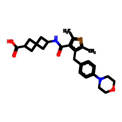 Cc1sc(C)c(C(=O)NC2CC3(C2)CC(C(=O)O)C3)c1Cc1ccc(N2CCOCC2)cc1